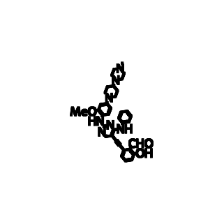 COc1cc(N2CCC(N3CCN(C)CC3)CC2)ccc1Nc1ncc(C#Cc2cccc(O)c2C=O)c(Nc2ccccc2)n1